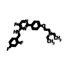 CCN(CC)CCOc1ccc(-c2ncc(F)c(NCc3ccc(F)cc3F)n2)cc1